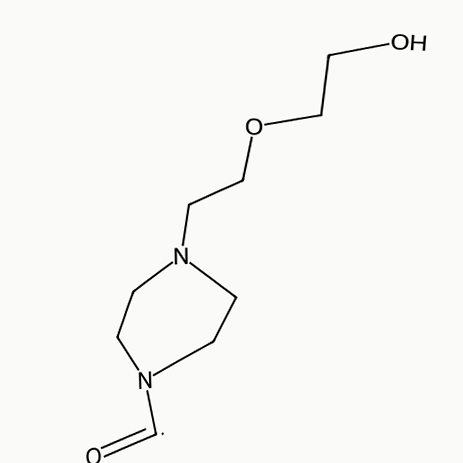 O=[C]N1CCN(CCOCCO)CC1